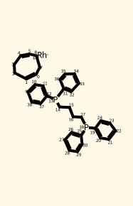 C1=C\CC/C=C\CC/1.[Rh].c1ccc(P(CCCCP(c2ccccc2)c2ccccc2)c2ccccc2)cc1